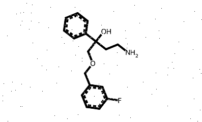 NCCC(O)(COCc1cccc(F)c1)c1ccccc1